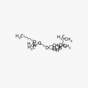 CCCCCCCCOC[C@@H](CN(C)C)OCCCCO[C@H]1CC[C@@]2(C)C(=CC[C@H]3[C@@H]4CC[C@H]([C@H](C)CCCC(C)C)[C@@]4(C)CC[C@@H]32)C1